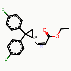 CCOC(=O)/C=C\[C@H]1CC1(c1ccc(F)cc1)c1ccc(F)cc1